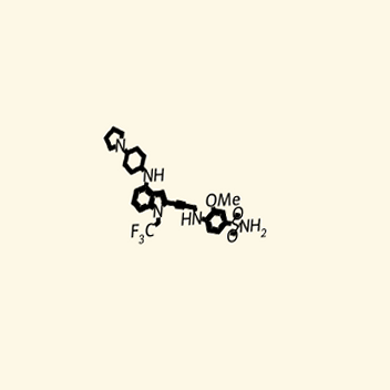 COc1cc(S(N)(=O)=O)ccc1NCC#Cc1cc2c(NC3CCC(N4CCCC4)CC3)cccc2n1CC(F)(F)F